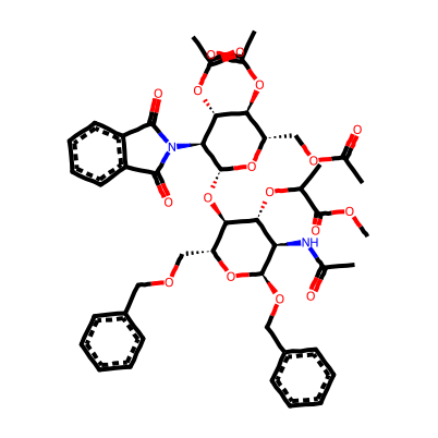 COC(=O)C(C)O[C@@H]1[C@@H](NC(C)=O)[C@@H](OCc2ccccc2)O[C@H](COCc2ccccc2)[C@H]1O[C@H]1O[C@@H](COC(C)=O)[C@H](OC(C)=O)[C@@H](OC(C)=O)[C@@H]1N1C(=O)c2ccccc2C1=O